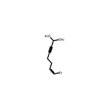 CC/C=C\CCC#CC(OC(C)=O)OC(C)=O